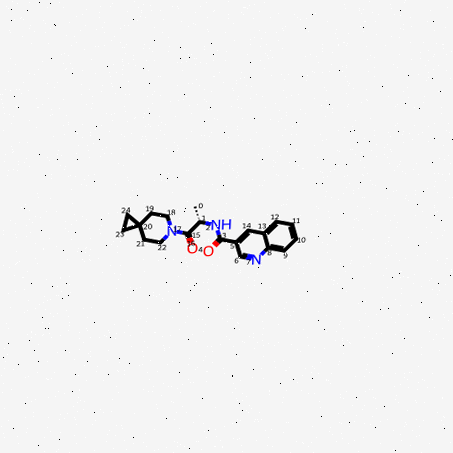 C[C@H](NC(=O)c1cnc2ccccc2c1)C(=O)N1CCC2(CC1)CC2